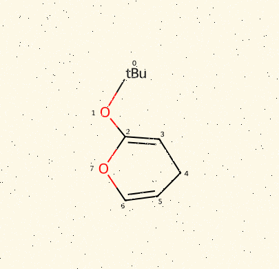 CC(C)(C)OC1=CCC=CO1